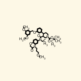 CCN(C(=O)C1CN(C(=O)OC(C)(C)C)CCC1c1cccc(OCc2cc(OC)cc(OC)c2)c1)c1ccc2c(c1)N(CCCOC)C(=O)CO2